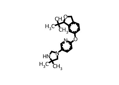 CC1(C)CN(c2ccc(Oc3ccc4c(c3)C(C(C)(C)C)OC4)nc2)CN1